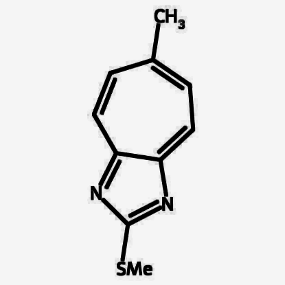 CSc1nc2ccc(C)ccc-2n1